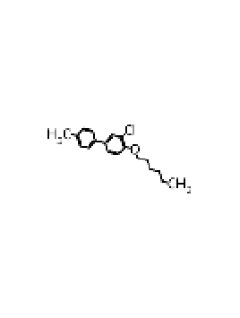 CCCCCCOc1ccc(-c2ccc(C)cc2)cc1Cl